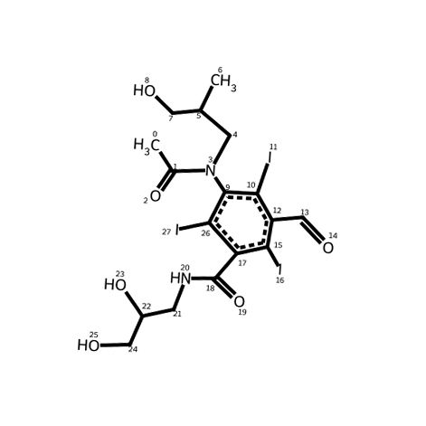 CC(=O)N(CC(C)CO)c1c(I)c(C=O)c(I)c(C(=O)NCC(O)CO)c1I